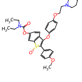 CCN(CC)C(=O)Oc1ccc2c(Oc3ccc(OCCN4CCCCC4)cc3)c(-c3ccc(OC)cc3)[s+]([O-])c2c1